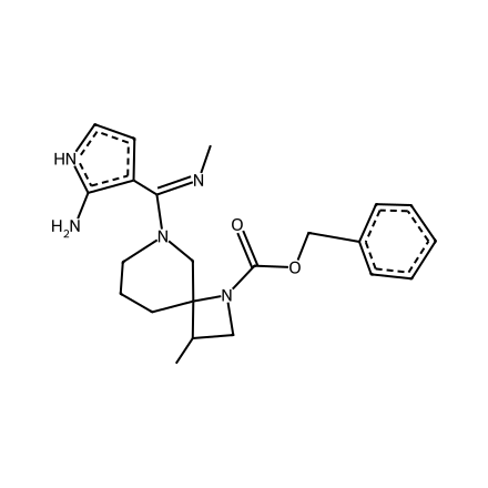 C/N=C(\c1cc[nH]c1N)N1CCCC2(C1)C(C)CN2C(=O)OCc1ccccc1